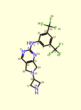 FC(F)(F)c1cc(Nc2ncc3c(n2)CN(C2CNC2)C3)cc(C(F)(F)F)c1